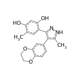 Cc1cc(-c2n[nH]c(C)c2-c2ccc3c(c2)OCCO3)c(O)cc1O